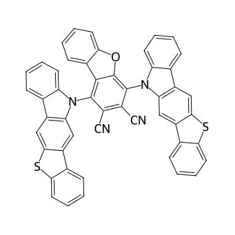 N#Cc1c(C#N)c(-n2c3ccccc3c3cc4sc5ccccc5c4cc32)c2c(oc3ccccc32)c1-n1c2ccccc2c2cc3sc4ccccc4c3cc21